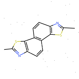 Cc1nc2ccc3c(ccc4nc(C)sc43)c2s1